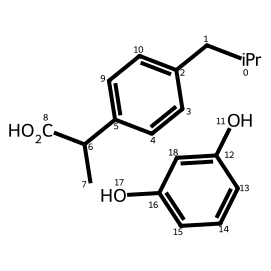 CC(C)Cc1ccc(C(C)C(=O)O)cc1.Oc1cccc(O)c1